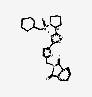 O=C1c2ccccc2C(=O)N1Cc1ccc(-c2nc([C@@H]3CCCCN3S(=O)(=O)CC3CCCCC3)no2)o1